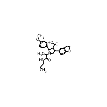 CCCNC(=O)C(C)N1CC(c2ccc3c(c2)CCO3)C(C(=O)O)C1c1ccc(OC)cc1